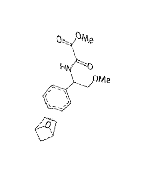 C1CC2CC1O2.COCC(NC(=O)C(=O)OC)c1ccccc1